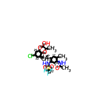 CC(=O)Nc1cc(NS(=O)(=O)C(F)(F)F)c(C)cc1C.Cc1cc(Cl)ccc1OC(C)C(=O)O